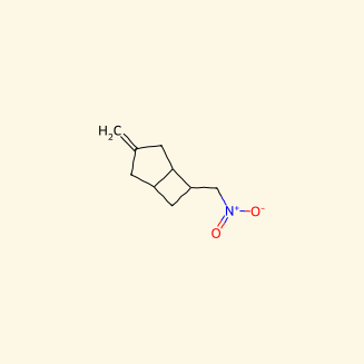 C=C1CC2CC(C[N+](=O)[O-])C2C1